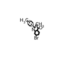 CN1CCN(c2nc3cc(Br)ccc3c(=O)n2C)CC1